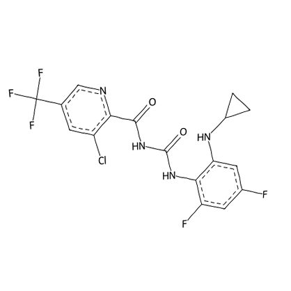 O=C(NC(=O)c1ncc(C(F)(F)F)cc1Cl)Nc1c(F)cc(F)cc1NC1CC1